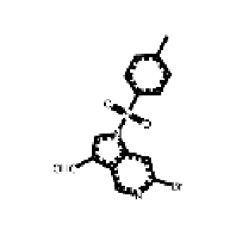 Cc1ccc(S(=O)(=O)n2cc(C=O)c3cnc(Br)cc32)cc1